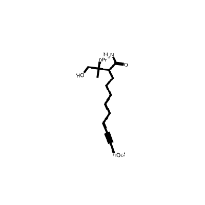 CCCCCCCCC#CCCCCCCC(C(N)=O)C(C)(CO)CCC